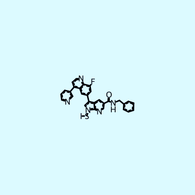 O=C(NCc1ccccc1)c1cnc2c(c1)c(-c1cc(F)c3nccc(-c4cccnc4)c3c1)cn2SI